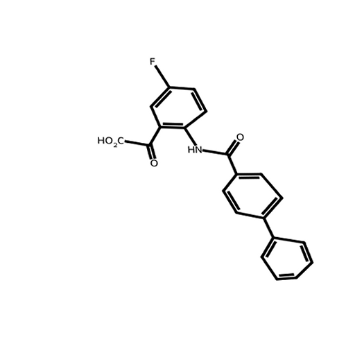 O=C(O)C(=O)c1cc(F)ccc1NC(=O)c1ccc(-c2ccccc2)cc1